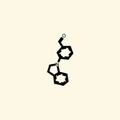 O=Cc1cccc(N2CCc3ccccc32)c1